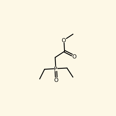 CCP(=O)(CC)CC(=O)OC